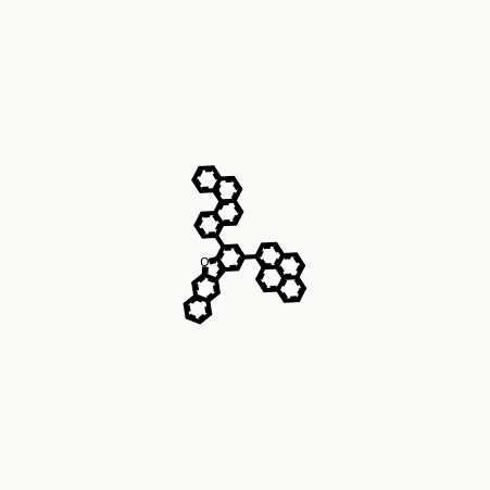 c1ccc2cc3c(cc2c1)oc1c(-c2cccc4c2ccc2ccc5ccccc5c24)cc(-c2ccc4ccc5cccc6ccc2c4c56)cc13